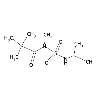 CC(C)NS(=O)(=O)N(C)C(=O)C(C)(C)C